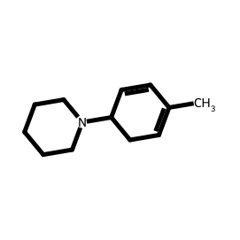 CC1=CCC(N2CCCCC2)C=C1